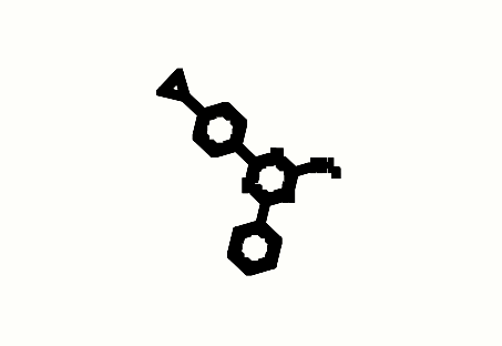 Nc1nc(-c2ccccc2)nc(-c2ccc(C3CC3)cc2)n1